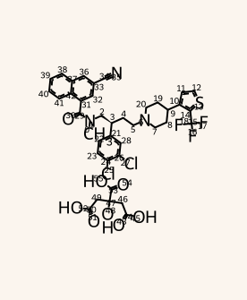 CN(C[C@@H](CCN1CCC(c2ccsc2C(F)(F)F)CC1)c1ccc(Cl)c(Cl)c1)C(=O)c1cc(C#N)cc2ccccc12.O=C(O)CC(O)(CC(=O)O)C(=O)O